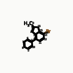 CC1=Cc2c(-c3ccccc3)ccc(Br)c2C1